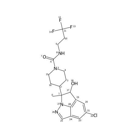 CC1(C2CCN(C(=O)NCCC(F)(F)F)CC2)C(O)c2cc(Cl)cc3cnn1c23